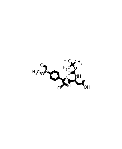 CON(C=O)c1ccc(-c2nc(C(CC(=O)O)NC(=O)OC(C)(C)C)[nH]c2Cl)cc1